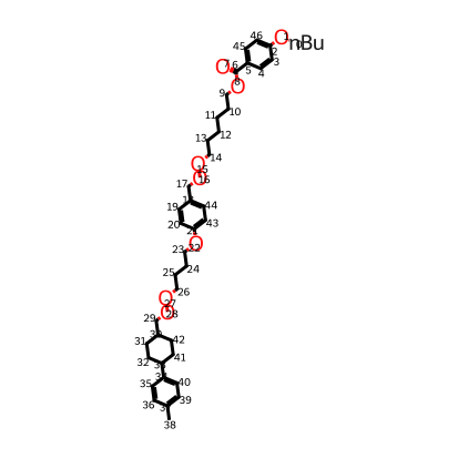 [CH2+][CH-]CCOc1ccc(C(=O)OCCCCCCOOCc2ccc(OCCCCOOCC3CCC(c4ccc(C)cc4)CC3)cc2)cc1